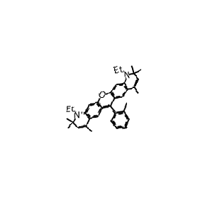 CCN1c2cc3c(cc2C(C)=CC1(C)C)C(c1ccccc1C)=c1cc2c(cc1O3)=[N+](CC)C(C)(C)C=C2C